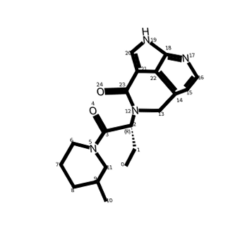 CC[C@H](C(=O)N1CCCC(C)C1)N1Cc2ccnc3[nH]cc(c23)C1=O